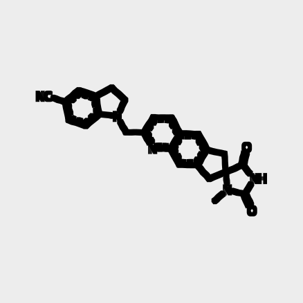 CN1C(=O)NC(=O)C12Cc1cc3ccc(CN4CCc5cc(C#N)ccc54)nc3cc1C2